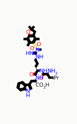 Cc1c(C)c(S(=O)(=O)N(C)C(=N)NCCC[C@H](NC(=O)[C@@H](N)CC(C)C)C(=O)N[C@@H](Cc2c[nH]c3ccccc23)C(=O)O)c(C)c2c1OC(C)(C)C2